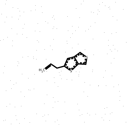 C=CCc1cc2cscc2s1